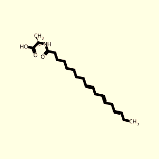 CCC=CCC=CCC=CCCCCCCCC(=O)N[C@@H](C)C(=O)O